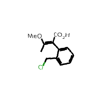 COC(C)=C(C(=O)O)c1ccccc1CCl